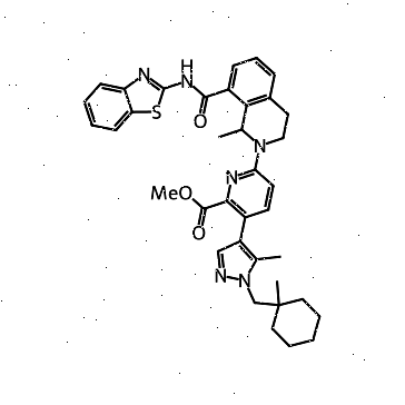 COC(=O)c1nc(N2CCc3cccc(C(=O)Nc4nc5ccccc5s4)c3C2C)ccc1-c1cnn(CC2(C)CCCCC2)c1C